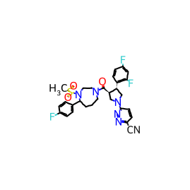 CS(=O)(=O)N1CCN(C(=O)[C@@H]2CN(c3ccc(C#N)nn3)C[C@H]2c2ccc(F)cc2F)CCCC1c1ccc(F)cc1